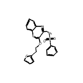 O=S(=O)(Nc1nc2ccccc2nc1OCCc1cccs1)c1ccccc1